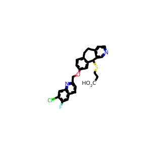 O=C(O)CCSC1c2cnccc2CCc2ccc(OCc3ccc4cc(F)c(Cl)cc4n3)cc21